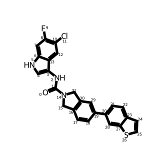 O=C(Nc1c[nH]c2cc(F)c(Cl)cc12)N1Cc2ccc(-c3ccc4ccsc4c3)cc2C1